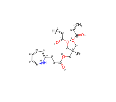 C=CC(=O)OCC(CC)(COC(=O)C=C)COC(=O)CCC1=CC=CC=CN1